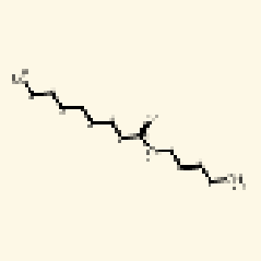 CCC=CCOC(=O)CCCCCCCBr